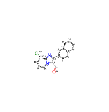 O=Cc1c(-c2ccc3ccccc3c2)nc2c(Cl)cccn12